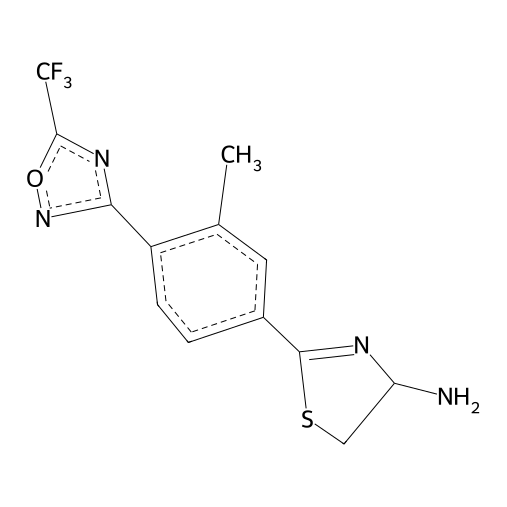 Cc1cc(C2=NC(N)CS2)ccc1-c1noc(C(F)(F)F)n1